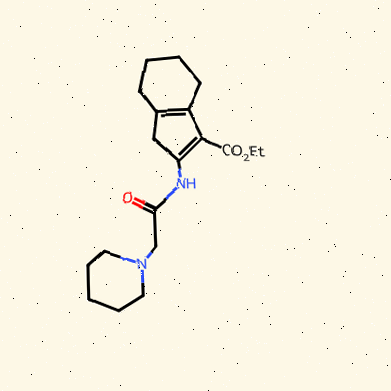 CCOC(=O)C1=C(NC(=O)CN2CCCCC2)CC2=C1CCCC2